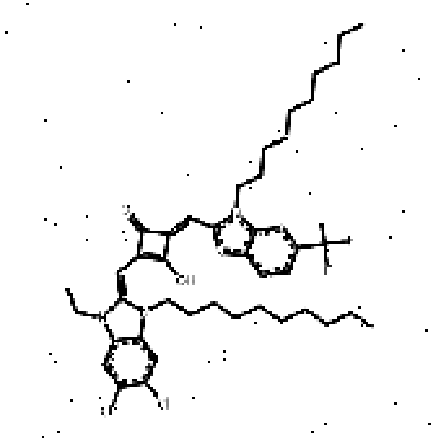 CCCCCCCCCCN1/C(=C\C2=C(O)C(=C\c3sc4ccc(C(F)(F)F)cc4[n+]3CCCCCCCCCC)/C2=O)N(CC)c2cc(Cl)c(Cl)cc21